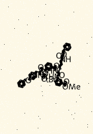 COC(=O)c1cccc(NC(=O)[C@H](CCCCNC(=O)OCc2ccccc2)NC(=O)c2cccc(NC(=O)[C@H](Cc3ccc(OCc4ccccc4)cc3)NC(=O)OC(C)(C)C)c2)c1